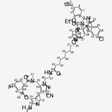 CCOc1cc(C(C)(C)C)ccc1C1=N[C@](C)(c2ccc(Cl)cc2)[C@](C)(c2ccc(Cl)cc2)N1C(=O)N1CCN(CCCCCCCCC(=O)NCCn2nc(C#N)c3c2CN(C)C(=O)c2ccc(F)cc2[C@@H](C)Oc2cc-3cnc2N)CC1